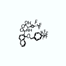 O=C(NC(C(=O)O)C12CC(C(F)(F)F)(C1)C2)c1ccc2ccccc2c1OCc1ccc(S(F)(F)(F)(F)F)cc1